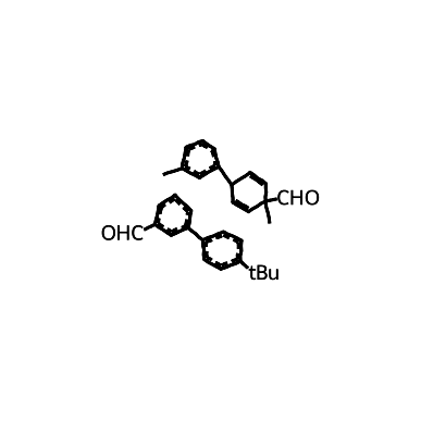 CC(C)(C)c1ccc(-c2cccc(C=O)c2)cc1.Cc1cccc(C2C=CC(C)(C=O)C=C2)c1